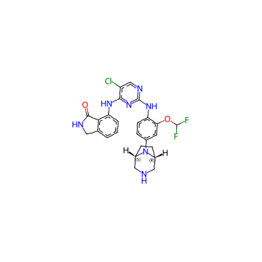 O=C1NCc2cccc(Nc3nc(Nc4ccc(N5[C@@H]6CC[C@H]5CNC6)cc4OC(F)F)ncc3Cl)c21